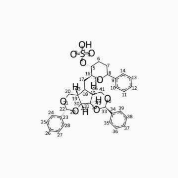 O=S(=O)(O)O[C@@H]1CCC(c2ccccc2)O[C@H]1CC1[C@H]2CO[C@@H](c3ccccc3)O[C@H]2[C@@H]2O[C@H](c3ccccc3)OC[C@H]12